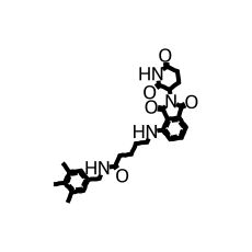 Cc1cc(CNC(=O)CCCCNc2cccc3c2C(=O)N(C2CCC(=O)NC2=O)C3=O)cc(C)c1C